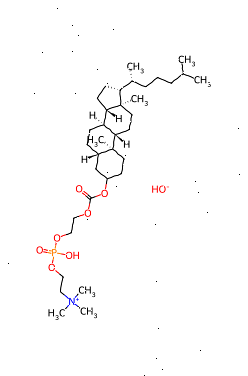 CC(C)CCC[C@@H](C)[C@H]1CC[C@H]2[C@@H]3CC[C@H]4CC(OC(=O)OCCOP(=O)(O)OCC[N+](C)(C)C)CC[C@]4(C)[C@H]3CC[C@]12C.[OH-]